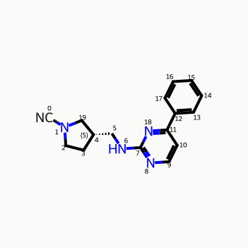 N#CN1CC[C@@H](CNc2nccc(-c3ccccc3)n2)C1